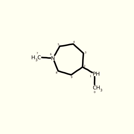 CPC1CCCN(C)CC1